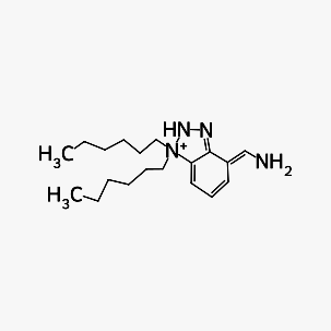 CCCCCC[N+]1(CCCCCC)NN=c2c1cccc2=CN